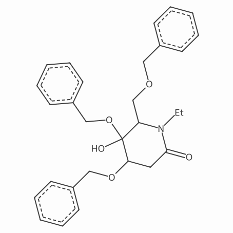 CCN1C(=O)CC(OCc2ccccc2)C(O)(OCc2ccccc2)C1COCc1ccccc1